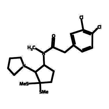 CSC1(SC)CCC(N(C)C(=O)Cc2ccc(Cl)c(Cl)c2)C1N1CCCC1